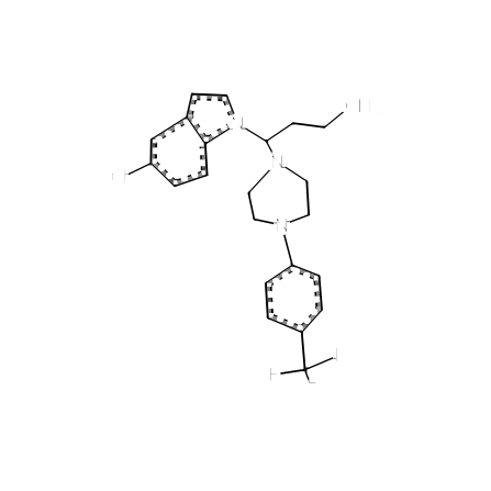 CCCC(N1CCN(c2ccc(C(F)(F)F)cc2)CC1)n1ccc2cc(Cl)ccc21